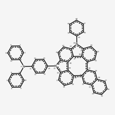 c1ccc(N(c2ccccc2)c2ccc(-n3c4cccc5c6cc7ccccc7cc6c6cccc7c6c6c(c54)c3ccc6n7-c3ccccc3)cc2)cc1